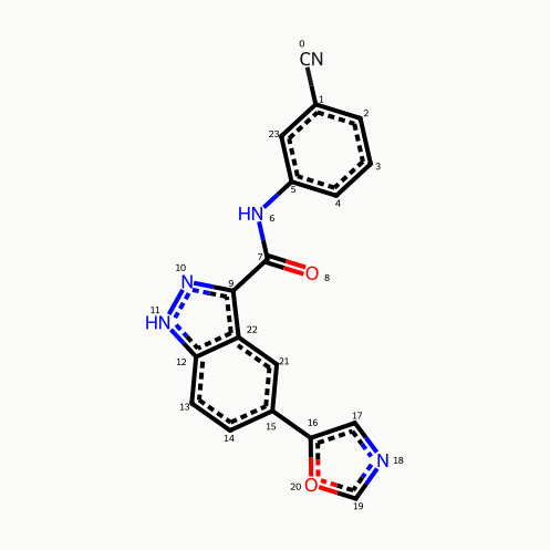 N#Cc1cccc(NC(=O)c2n[nH]c3ccc(-c4cnco4)cc23)c1